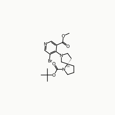 COC(=O)c1cncc(Br)c1N1CC[C@@]2(CCCN2C(=O)OC(C)(C)C)C1